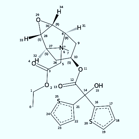 CCOC(=O)C[N+]1(C)[C@@H]2C[C@@H](OC(=O)C(O)(c3cccs3)c3cccs3)C[C@H]1[C@@H]1O[C@@H]12